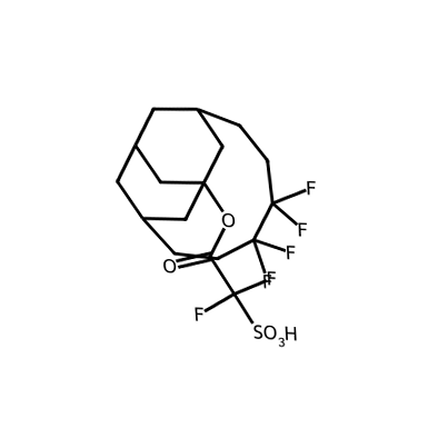 O=C(OC12CC3CCC(F)(F)C(F)(F)CCC(CC(C3)C1)C2)C(F)(F)S(=O)(=O)O